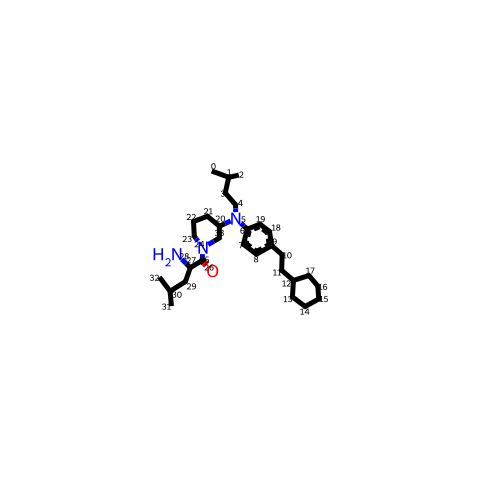 CC(C)CCN(c1ccc(CCC2CCCCC2)cc1)C1CCCN(C(=O)C(N)CC(C)C)C1